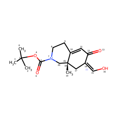 CC(C)(C)OC(=O)N1CCC2=CC(=O)/C(=C\O)C[C@]2(C)C1